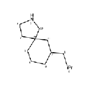 CC(C)CC1CCCC2(CCNC2)C1